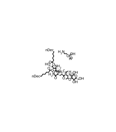 CCCCCCCCCCCCCCCC(=O)OC([C@H](CO)OC(=O)CCCCCCCCCCCCCCC)[C@@](C)(N)C(=O)N[C@H](CCC(=O)N(CC(C)O[C@@H]1[C@@H](N)[C@@H](O)O[C@H](CO)[C@H]1O)[C@@H](C)C(=O)O)C(N)=O.NCCO[PH](=O)O